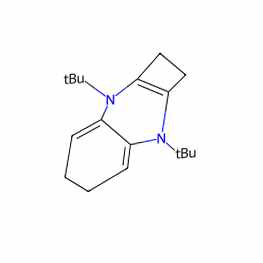 CC(C)(C)N1C2=CCCC=C2N(C(C)(C)C)C2=C1CC2